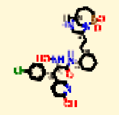 O=C(N[C@H]1CCCC[C@@H]1CC[C@H]1CN[C@@H]2CCCS(=O)(=O)N1C2)[C@@H](NO)[C@@H](c1ccc(Cl)cc1)c1ccc(O)nc1